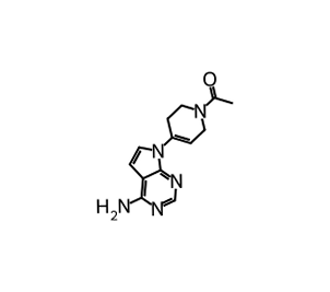 CC(=O)N1CC=C(n2ccc3c(N)ncnc32)CC1